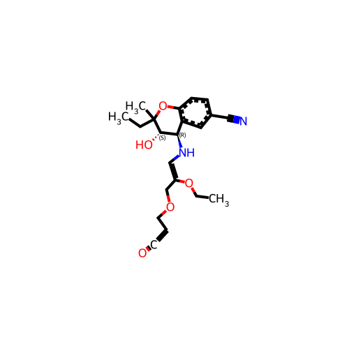 CCOC(=CN[C@@H]1c2cc(C#N)ccc2OC(C)(CC)[C@H]1O)COCC=C=O